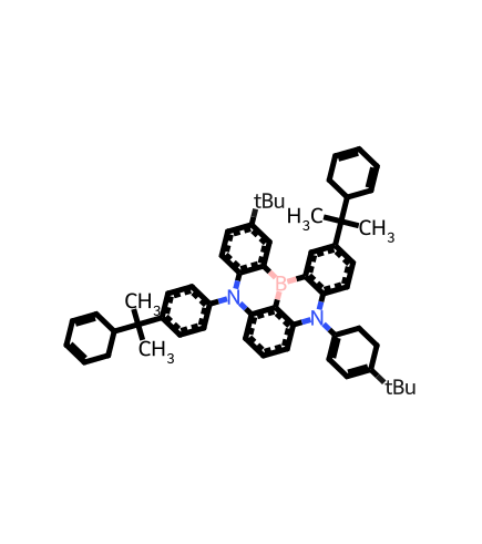 CC(C)(C)C1=CC=C(N2c3ccc(C(C)(C)C4C=CC=CC4)cc3B3c4cc(C(C)(C)C)ccc4N(c4ccc(C(C)(C)C5C=CC=CC5)cc4)c4cccc2c43)CC1